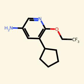 Nc1cnc(OCC(F)(F)F)c(C2CCCC2)c1